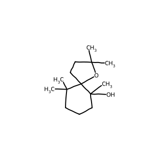 CC1(C)CCC2(O1)C(C)(C)CCCC2(C)O